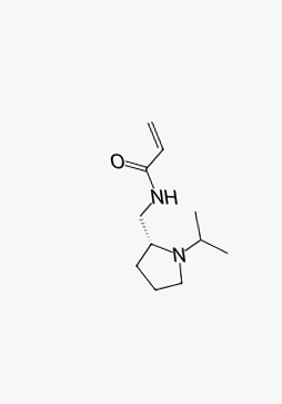 C=CC(=O)NC[C@H]1CCCN1C(C)C